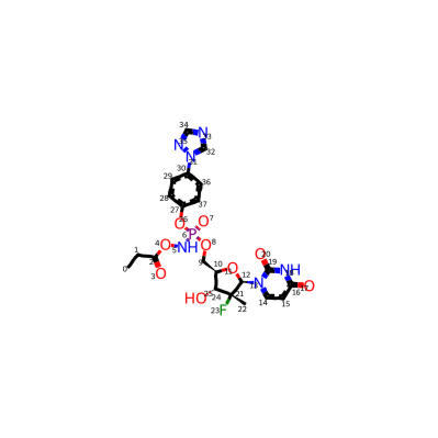 CCC(=O)ONP(=O)(OC[C@H]1O[C@@H](n2ccc(=O)[nH]c2=O)[C@](C)(F)[C@@H]1O)Oc1ccc(-n2cncn2)cc1